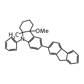 COC12CCCCC1(C)N(c1ccccc1)c1ccc(-c3ccc4c(c3)Cc3ccccc3-4)cc12